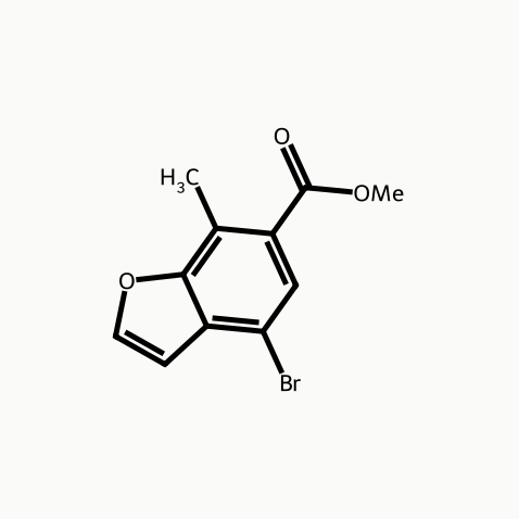 COC(=O)c1cc(Br)c2ccoc2c1C